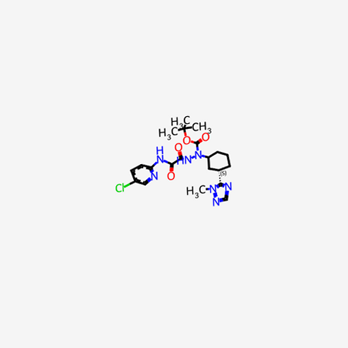 Cn1ncnc1[C@H]1CCCC(N(NC(=O)C(=O)Nc2ccc(Cl)cn2)C(=O)OC(C)(C)C)C1